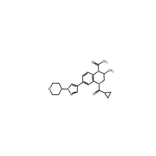 CC(=O)N1c2ccc(-c3cnn(C4CCOCC4)c3)cc2N(C(=O)C2CC2)CC1C